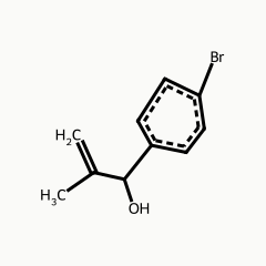 C=C(C)C(O)c1ccc(Br)cc1